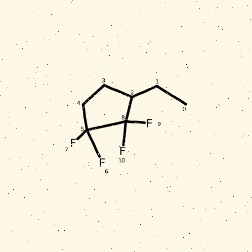 CCC1CCC(F)(F)C1(F)F